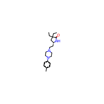 CCC1(CC)C[C@H](CCN2CCN(c3ccc(C)cc3)CC2)NC1=O